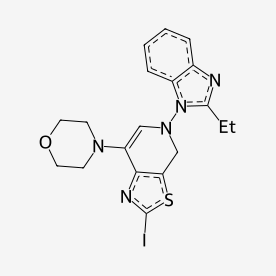 CCc1nc2ccccc2n1N1C=C(N2CCOCC2)c2nc(I)sc2C1